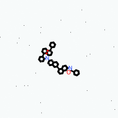 c1ccc(-c2ccc(N(c3ccc4cc(-c5cccc6c5ccc5nc(-c7ccccc7)oc56)ccc4c3)c3ccccc3-c3ccccc3)cc2)cc1